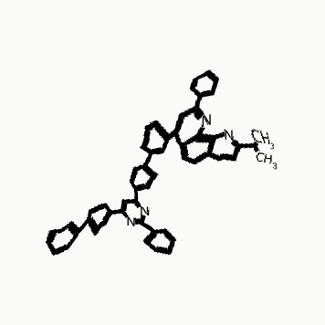 CC(C)c1ccc2ccc3c(-c4cccc(-c5ccc(-c6cc(-c7ccc(-c8ccccc8)cc7)nc(-c7ccccc7)n6)cc5)c4)cc(-c4ccccc4)nc3c2n1